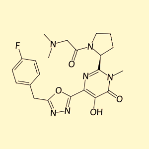 CN(C)CC(=O)N1CCC[C@H]1c1nc(-c2nnc(Cc3ccc(F)cc3)o2)c(O)c(=O)n1C